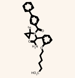 [2H]C1(N(C(=O)c2ccc(-c3ccccc3)cc2)C(C(N)=O)c2ccccc2OCCCCCC(=O)O)CC1